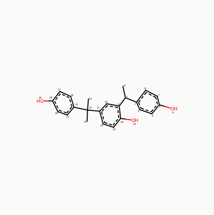 CC(c1ccc(O)cc1)c1cc(C(C)(C)c2ccc(O)cc2)ccc1O